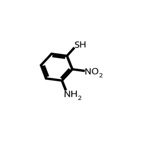 Nc1cccc(S)c1[N+](=O)[O-]